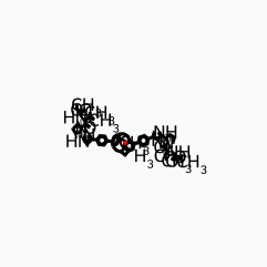 COC(=O)N[C@H](C(=O)N1CCC[C@H]1c1nc(-c2ccc(-c3cc4c5cc3CCc3cc(-c6ccc(-c7c[nH]c([C@@H]8CCCN8C(=O)[C@@H](NC(=O)OC)C(C)C)n7)cc6)c(cc3OC)CC5C4)cc2)c[nH]1)C(C)C